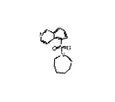 O=S(=O)(c1cccc2cnccc12)N1CCCCCCC1